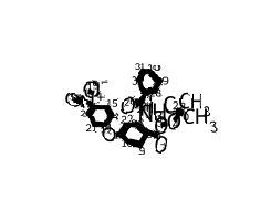 CC(C)(C)OOC(=O)c1ccc(Oc2ccc([N+](=O)[O-])cc2)cc1NC(=O)c1ccccc1